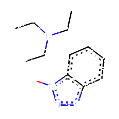 CCN(CC)CC.On1nnc2ccccc21